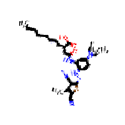 CCCCC/C=C/CC(CC(=O)Nc1cc(N(CC)CC)ccc1NNc1sc(C#N)c(C)c1C#N)C(=O)O